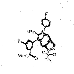 COC(=O)c1cc(F)cc(-c2c(C(C)C)n(-c3ccc(F)cc3)c3cc4cnn(S(=O)(=O)N(C)C)c4cc23)c1